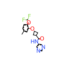 Cc1ccc(OC(F)F)c(OC2CC(C(=O)Nc3cncnc3)C2)c1